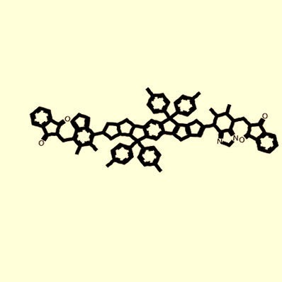 Cc1ccc(C2(c3ccc(C)cc3)C3=C(CC4=C3CC(C3C5=NCN=C5C(CC5C(=O)c6ccccc6C5=O)C(C)C3C)=C4)c3cc4c(cc32)C2CC3CC(c5c(C)c(C)c(CC6C(=O)c7ccccc7C6=O)c6c5=CCC=6)CC3C2C4(c2ccc(C)cc2)c2ccc(C)cc2)cc1